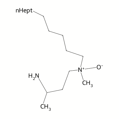 CCCCCCCCCCCC[N+](C)([O-])CCC(C)N